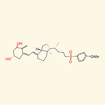 C=C1/C(=C\C=C2/CCC[C@]3(C)[C@@H]([C@H](C)CCCS(=O)(=O)c4ccc(OC)cc4)CC[C@@H]23)C[C@H](O)C[C@H]1O